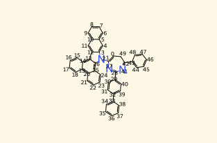 C1=C(n2c3cc4ccccc4cc3c3c4ccccc4c4ccccc4c32)N=C(c2ccc(-c3ccccc3)cc2)N=C(c2ccccc2)C1